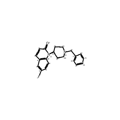 O=c1ccc2cc(F)ccc2n1C1CCN(Cc2ccccc2)CC1